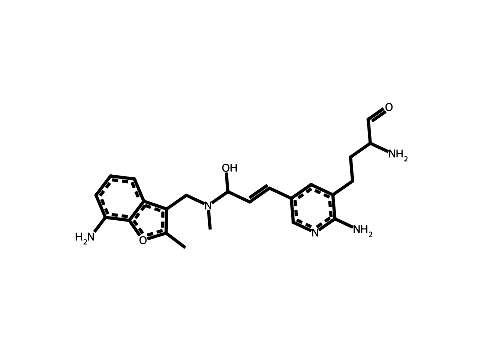 Cc1oc2c(N)cccc2c1CN(C)C(O)/C=C/c1cnc(N)c(CCC(N)C=O)c1